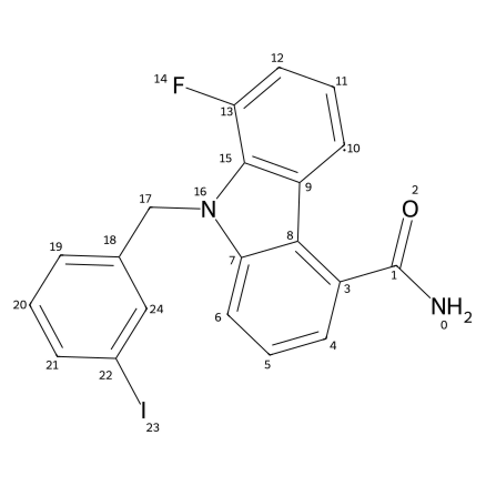 NC(=O)c1cccc2c1c1[c]ccc(F)c1n2Cc1cccc(I)c1